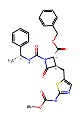 C[C@@H](NC(=O)N1C(=O)[C@H](Cc2cnc(NC(=O)OC(C)(C)C)s2)[C@H]1C(=O)OCc1ccccc1)c1ccccc1